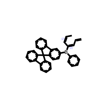 C=C/C=C(\C=C/C)B(c1ccccc1)c1ccc2c(c1)-c1ccccc1C21c2ccccc2-c2ccccc21